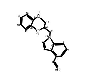 O=Cc1cccc2c1ccn2CC1COc2ccccc2O1